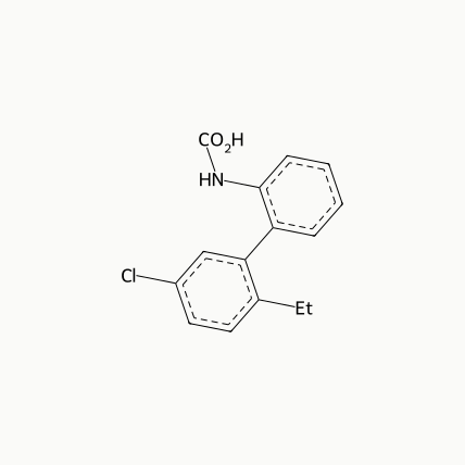 CCc1ccc(Cl)cc1-c1ccccc1NC(=O)O